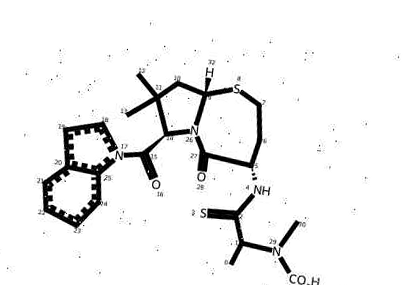 CC(C(=S)N[C@H]1CCS[C@H]2CC(C)(C)[C@H](C(=O)n3ccc4ccccc43)N2C1=O)N(C)C(=O)O